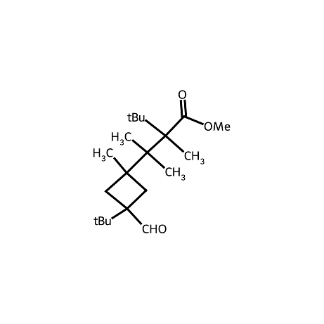 COC(=O)C(C)(C(C)(C)C)C(C)(C)C1(C)CC(C=O)(C(C)(C)C)C1